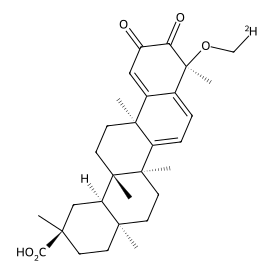 [2H]CO[C@]1(C)C(=O)C(=O)C=C2C1=CC=C1[C@@]2(C)CC[C@@]2(C)[C@@H]3C[C@](C)(C(=O)O)CC[C@]3(C)CC[C@]12C